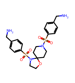 NCc1ccc(S(=O)(=O)N2CCC3(CC2)OCCN3S(=O)(=O)c2ccc(CN)cc2)cc1